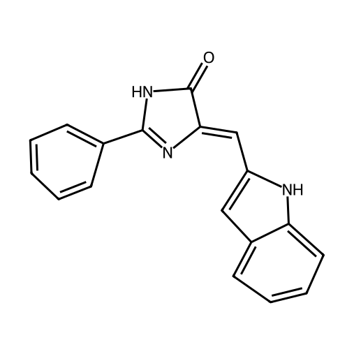 O=C1NC(c2ccccc2)=N/C1=C\c1cc2ccccc2[nH]1